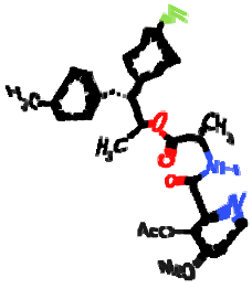 COc1ccnc(C(=O)N[C@@H](C)C(=O)O[C@@H](C)[C@H](c2ccc(C)cc2)c2ccc(F)cc2)c1OC(C)=O